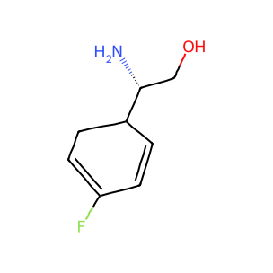 N[C@H](CO)C1C=CC(F)=CC1